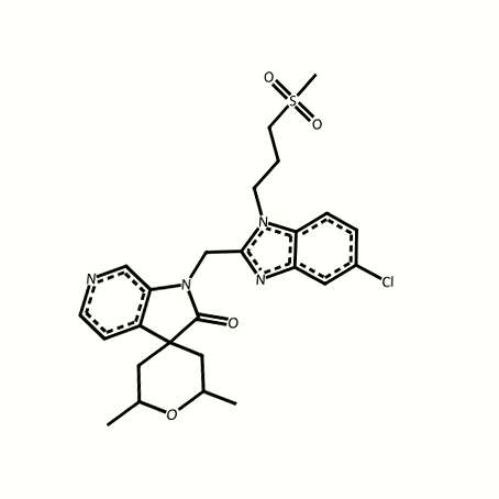 CC1CC2(CC(C)O1)C(=O)N(Cc1nc3cc(Cl)ccc3n1CCCS(C)(=O)=O)c1cnccc12